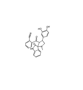 CN1CC(c2ccc(O)c(O)c2)C(C(=O)c2ccccc2C#N)C12C(=O)Nc1ccccc12